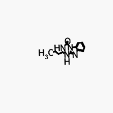 CCCC1NC(=O)n2c(nc3ccccc32)N1